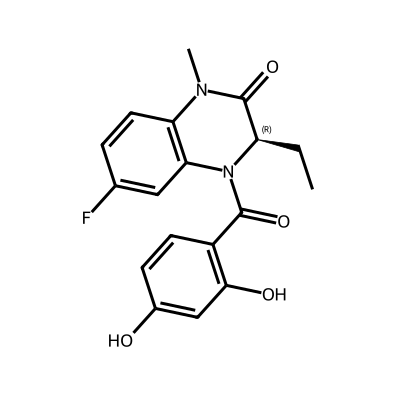 CC[C@@H]1C(=O)N(C)c2ccc(F)cc2N1C(=O)c1ccc(O)cc1O